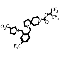 O=C(O)C1CCN(Cc2cc(C(F)(F)F)ccc2CN2CCCC23CCN(C(=O)OC(C(F)(F)F)C(F)(F)F)CC3)C1